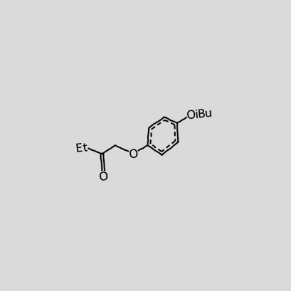 CCC(=O)COc1ccc(OCC(C)C)cc1